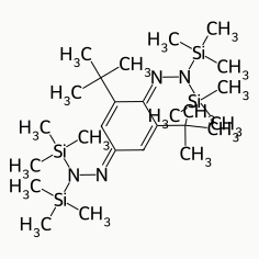 CC(C)(C)C1=CC(=NN([Si](C)(C)C)[Si](C)(C)C)C=C(C(C)(C)C)C1=NN([Si](C)(C)C)[Si](C)(C)C